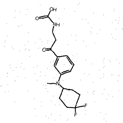 CN(c1cccc(C(=O)CCNC(=O)O)c1)C1CCC(F)(F)CC1